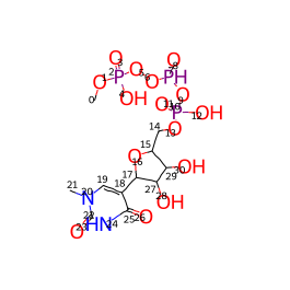 COP(=O)(O)OO[PH](=O)OP(=O)(O)OCC1OC(c2cn(C)c(=O)[nH]c2=O)C(O)C1O